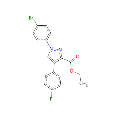 CCOC(=O)c1nn(-c2ccc(Br)cc2)cc1-c1ccc(F)cc1